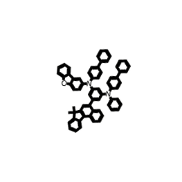 CC1(C)c2ccccc2-c2c1cc(-c1cc(N(c3ccccc3)c3ccc(-c4ccccc4)cc3)cc(N(c3ccc(-c4ccccc4)cc3)c3ccc4oc5ccccc5c4c3)c1)c1ccccc21